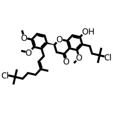 COc1ccc([C@@H]2CC(=O)c3c(cc(O)c(CCC(C)(C)Cl)c3OC)O2)c(C/C=C(\C)CCCC(C)(C)Cl)c1OC